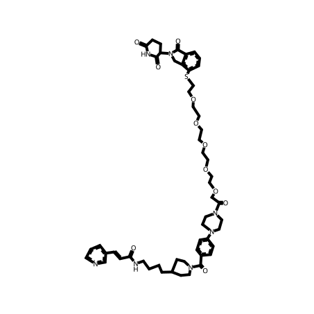 O=C(/C=C/c1cccnc1)NCCCCC1CCN(C(=O)c2ccc(N3CCN(C(=O)COCCOCCOCCOCCOCCSc4cccc5c4CN(C4CCC(=O)NC4=O)C5=O)CC3)cc2)CC1